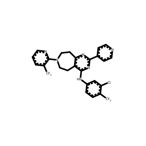 FC(F)(F)c1ccc(Nc2nc(-c3ccncc3)nc3c2CCN(c2ncccc2C(F)(F)F)CC3)cc1Cl